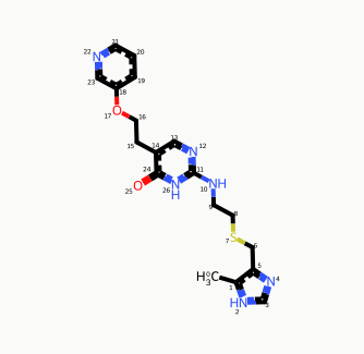 Cc1[nH]cnc1CSCCNc1ncc(CCOc2cccnc2)c(=O)[nH]1